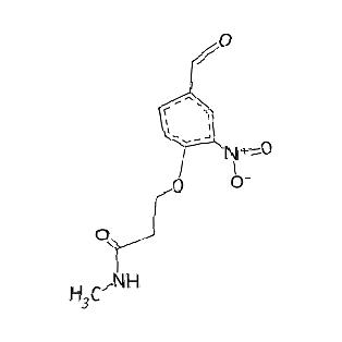 CNC(=O)CCOc1ccc(C=O)cc1[N+](=O)[O-]